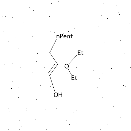 CCCCCC/C=C/O.CCOCC